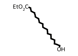 CCOC(=O)CCCCCCCCCCCCCCCO